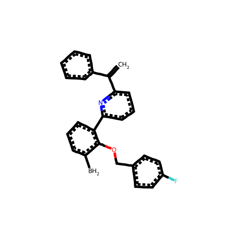 Bc1cccc(-c2cccc(C(=C)c3ccccc3)n2)c1OCc1ccc(F)cc1